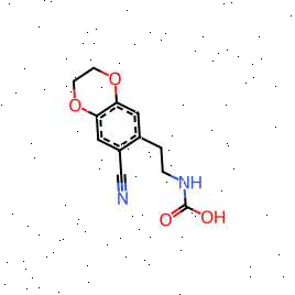 N#Cc1cc2c(cc1CCNC(=O)O)OCCO2